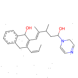 C/C=C\C1=C(/C=C(\C)C(C)CC(O)N2C=CN=CC2)C(O)c2ccccc2C1